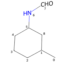 CC1CCCC(NC=O)C1